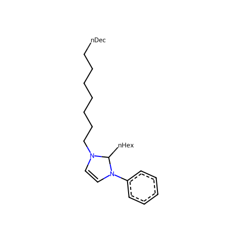 CCCCCCCCCCCCCCCCCN1C=CN(c2ccccc2)C1CCCCCC